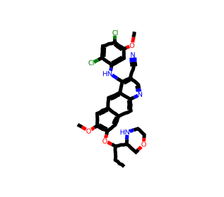 CCC(Oc1cc2cc3ncc(C#N)c(Nc4cc(OC)c(Cl)cc4Cl)c3cc2cc1OC)C1COCCN1